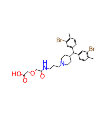 Cc1ccc(C(c2ccc(C)c(Br)c2)C2CCN(CCCNC(=O)COCC(=O)O)CC2)cc1Br